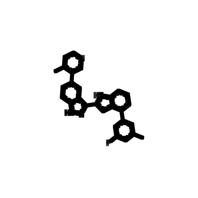 Cc1cc(F)cc(-c2cccc3[nH]c(-c4n[nH]c5ccc(-c6cnccc6C)cc45)cc23)c1